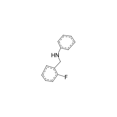 Fc1ccccc1CNc1ccccc1